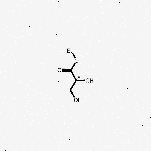 CCOC(=O)[C@@H](O)CO